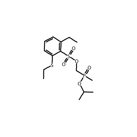 CCSc1cccc(CC)c1S(=O)(=O)OCP(C)(=O)OC(C)C